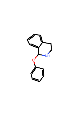 c1ccc(O[C]2NCCc3ccccc32)cc1